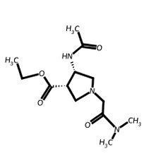 CCOC(=O)[C@H]1CN(CC(=O)N(C)C)C[C@H]1NC(C)=O